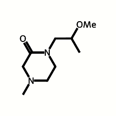 COC(C)CN1CCN(C)CC1=O